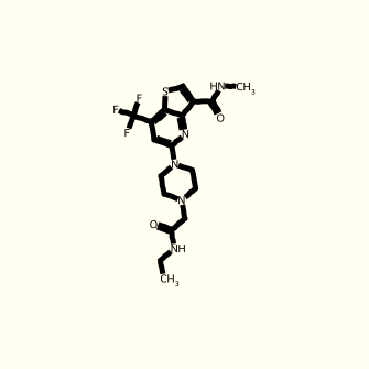 CCNC(=O)CN1CCN(c2cc(C(F)(F)F)c3scc(C(=O)NC)c3n2)CC1